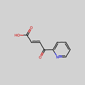 O=C(O)/C=C/C(=O)c1ccccn1